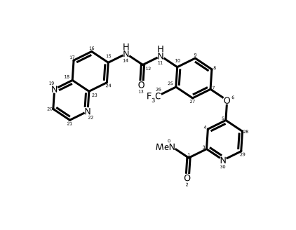 CNC(=O)c1cc(Oc2ccc(NC(=O)Nc3ccc4nccnc4c3)c(C(F)(F)F)c2)ccn1